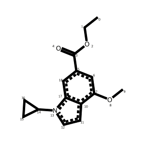 CCOC(=O)c1cc(OC)c2ccn(C3CC3)c2c1